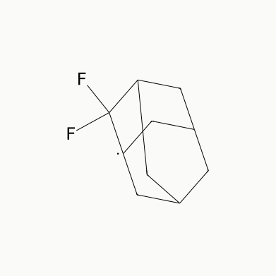 FC1(F)[C]2CC3CC(C2)CC1C3